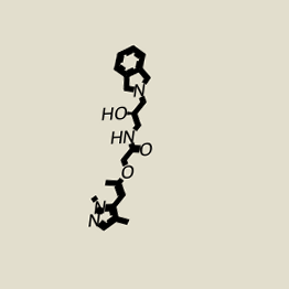 C/C(=C\c1c(C)cnn1C)OCC(=O)NC[C@@H](O)CN1Cc2ccccc2C1